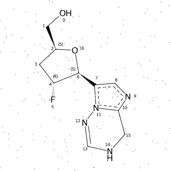 OC[C@@H]1C[C@@H](F)[C@H](c2cnc3n2N=CNC3)O1